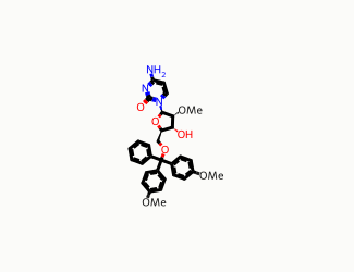 COc1ccc(C(OC[C@H]2O[C@@H](n3ccc(N)nc3=O)[C@H](OC)[C@@H]2O)(c2ccccc2)c2ccc(OC)cc2)cc1